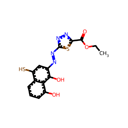 CCOC(=O)c1nnc(/N=N/c2cc(S)c3cccc(O)c3c2O)s1